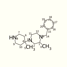 CC1CN(C2(C)CCNCC2)CCN1Cc1ccccc1